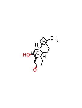 CC1=C2CC[C@H]3[C@@H](CC(O)C4=CC(=O)CC[C@@]43C)[C@@H]2CC1